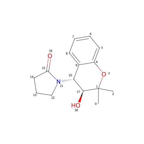 CC1(C)Oc2ccccc2[C@@H](N2CCCC2=O)[C@@H]1O